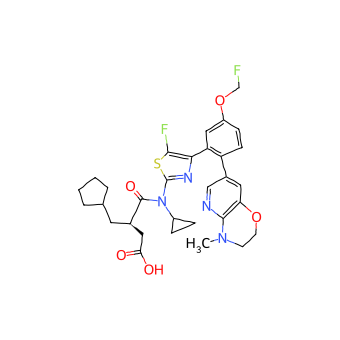 CN1CCOc2cc(-c3ccc(OCF)cc3-c3nc(N(C(=O)[C@@H](CC(=O)O)CC4CCCC4)C4CC4)sc3F)cnc21